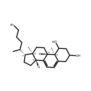 CC(C)CCCC(C)[C@H]1CC[C@H]2C3=CC=C4CC(O)CC(O)[C@]4(C)[C@H]3CC[C@]12C